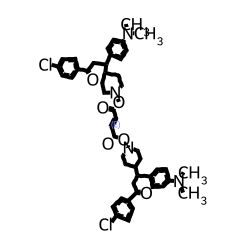 CN(C)c1ccc(C(CC(=O)c2ccc(Cl)cc2)C2CCN(OC(=O)/C=C/C(=O)ON3CCC(C(CC(=O)c4ccc(Cl)cc4)c4ccc(N(C)C)cc4)CC3)CC2)cc1